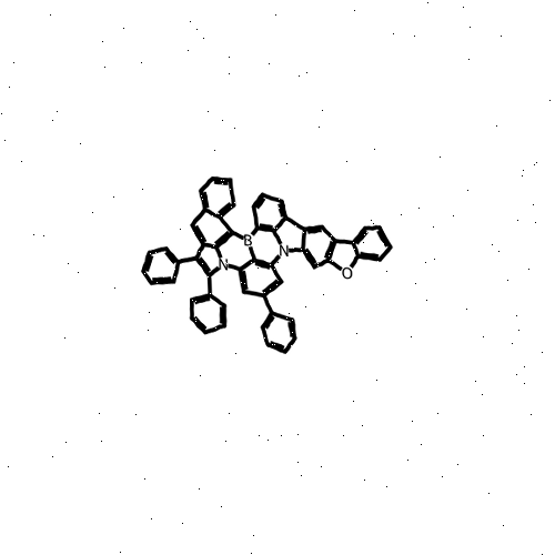 c1ccc(-c2cc3c4c(c2)-n2c5cc6oc7ccccc7c6cc5c5cccc(c52)B4c2c4ccccc4cc4c(-c5ccccc5)c(-c5ccccc5)n-3c24)cc1